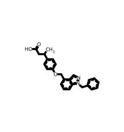 CC(CC(=O)O)c1ccc(OCc2cccc3c2cnn3Cc2ccccc2)cc1